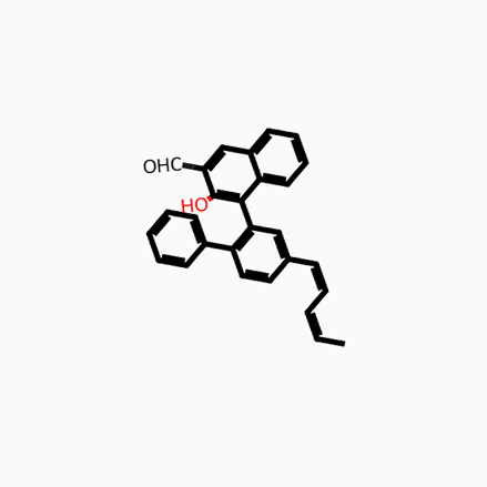 C/C=C\C=C/c1ccc(-c2ccccc2)c(-c2c(O)c(C=O)cc3ccccc23)c1